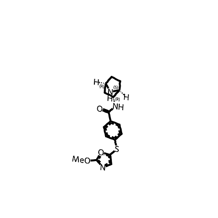 COc1ncc(Sc2ccc(C(=O)N[C@@H]3C[C@H]4CC[C@@H]3N4)cc2)o1